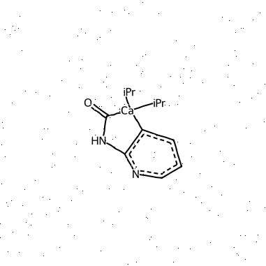 C[CH](C)[Ca]1([CH](C)C)[C](=O)Nc2nccc[c]21